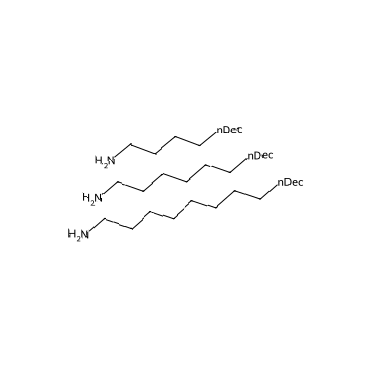 CCCCCCCCCCCCCCCCCCN.CCCCCCCCCCCCCCCCN.CCCCCCCCCCCCCCN